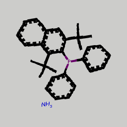 CC(C)(C)c1cc2ccccc2c(C(C)(C)C)c1P(c1ccccc1)c1ccccc1.N